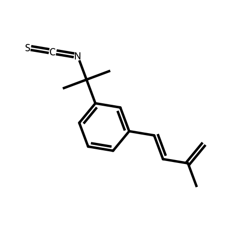 C=C(C)C=Cc1cccc(C(C)(C)N=C=S)c1